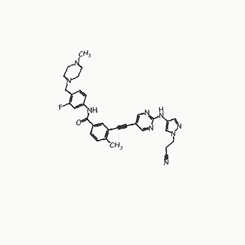 Cc1ccc(C(=O)Nc2ccc(CN3CCN(C)CC3)c(F)c2)cc1C#Cc1cnc(Nc2cnn(CCC#N)c2)nc1